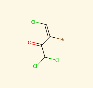 O=C(/C(Br)=C\Cl)C(Cl)Cl